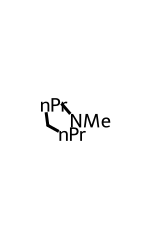 CCCCCCC.CNC